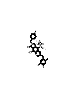 CN(c1c2c(c(O)c3ncc(Cc4cc(Cl)c(F)cc4F)cc13)C(=O)N(Cc1ccc(F)cc1)C2)S(C)(=O)=O